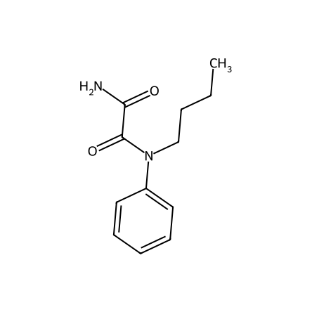 CCCCN(C(=O)C(N)=O)c1ccccc1